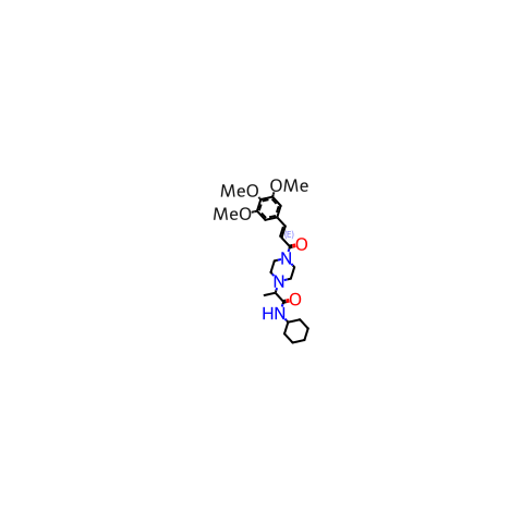 COc1cc(/C=C/C(=O)N2CCN(C(C)C(=O)NC3CCCCC3)CC2)cc(OC)c1OC